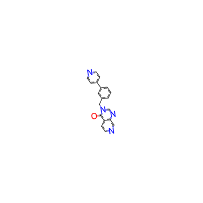 O=c1c2ccncc2ncn1Cc1cccc(-c2ccncc2)c1